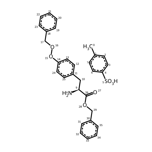 Cc1ccc(S(=O)(=O)O)cc1.N[C@@H](Cc1ccc(OOCc2ccccc2)cc1)C(=O)OCc1ccccc1